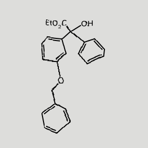 CCOC(=O)C(O)(c1ccccc1)c1cccc(OCc2ccccc2)c1